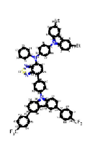 CCc1ccc2c(c1)c1cc(CC)ccc1n2-c1ccc(N(c2ccccc2)c2ccc(-c3ccc(-n4c5ccc(-c6ccc(C(F)(F)F)cc6)cc5c5cc(-c6ccc(C(F)(F)F)cc6)ccc54)cc3)c3nsnc23)cc1